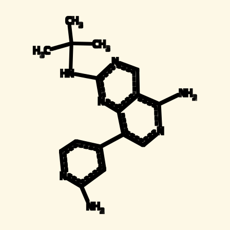 CC(C)(C)Nc1ncc2c(N)ncc(-c3ccnc(N)c3)c2n1